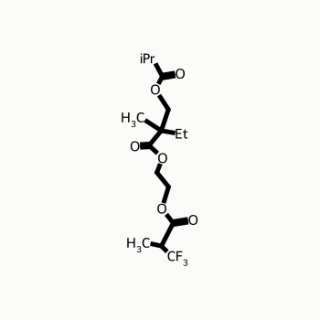 CCC(C)(COC(=O)C(C)C)C(=O)OCCOC(=O)C(C)C(F)(F)F